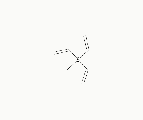 C=CS(C)(C=C)C=C